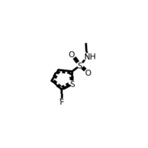 CNS(=O)(=O)c1ccc(F)s1